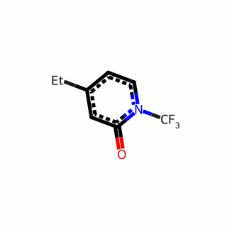 CCc1ccn(C(F)(F)F)c(=O)c1